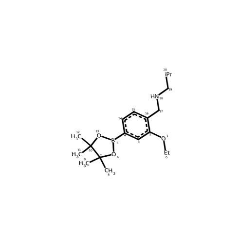 CCOc1cc(B2OC(C)(C)C(C)(C)O2)ccc1CNCC(C)C